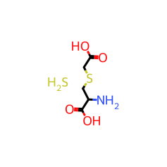 NC(CSCC(=O)O)C(=O)O.S